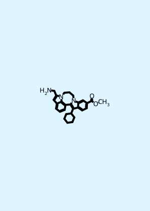 COC(=O)c1ccc2c(C3CCCCC3)c3n(c2c1)CCCn1c(CN)cc2cccc-3c21